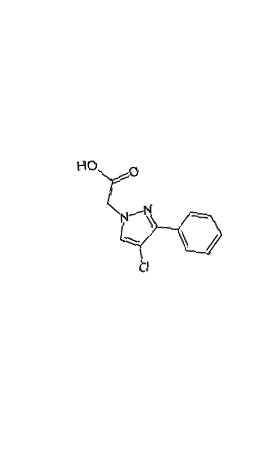 O=C(O)Cn1cc(Cl)c(-c2ccccc2)n1